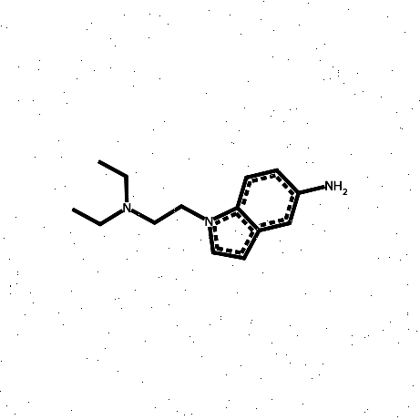 CCN(CC)CCn1ccc2cc(N)ccc21